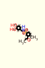 CCC(=O)c1cc(S(=O)(=O)NCc2ccc(O)c(O)c2)ccc1C